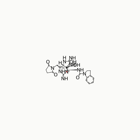 N=C1N[C@H]2[C@H](CN3C(=O)CCC3=O)NC(=N)N3C[C@H](NC(=O)N4CCc5ccccc54)C(O)(O)[C@]23N1